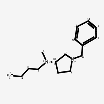 CN(CCCC(F)(F)F)[C@H]1CCN(Cc2ccccc2)C1